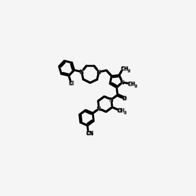 Cc1c(CN2CCCN(c3ccccc3Cl)CC2)cc(C(=O)N2CCN(c3cccc(C#N)c3)CC2C)n1C